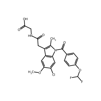 COc1cc2c(CC(=O)NCC(=O)O)c(C)n(C(=O)c3ccc(OC(F)F)cc3)c2cc1Cl